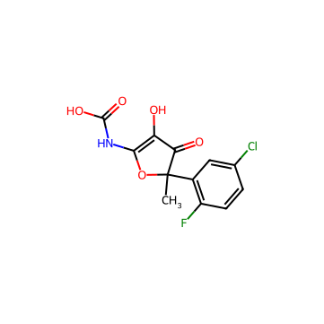 CC1(c2cc(Cl)ccc2F)OC(NC(=O)O)=C(O)C1=O